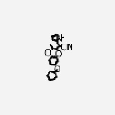 CC(Oc1ccc(Oc2ccccc2)cc1)C(=O)C(C#N)c1cccn1C